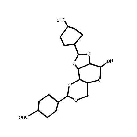 O=CC1CCC(C2OCC3OC(O)C4OC(C5CCC(C=O)CC5)OC4C3O2)CC1